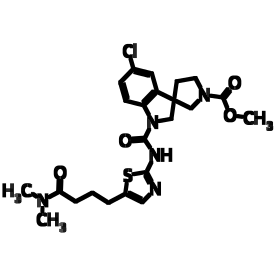 COC(=O)N1CCC2(C1)CN(C(=O)Nc1ncc(CCCC(=O)N(C)C)s1)c1ccc(Cl)cc12